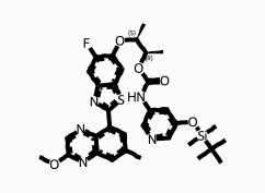 COc1cnc2c(-c3nc4cc(F)c(O[C@@H](C)[C@@H](C)OC(=O)Nc5cncc(O[Si](C)(C)C(C)(C)C)c5)cc4s3)cc(C)cc2n1